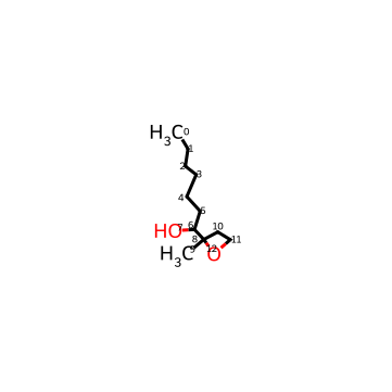 CCCCCCC(O)C1(C)CCO1